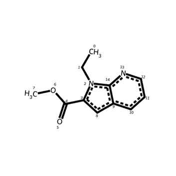 CCn1c(C(=O)OC)cc2cccnc21